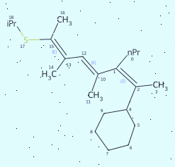 CCCC(=C(\C)C1CCCCC1)/C(C)=C/C(C)=C(\C)SC(C)C